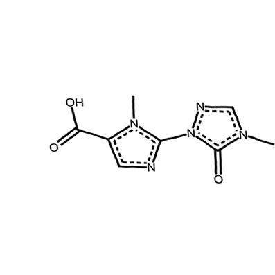 Cn1c(C(=O)O)cnc1-n1ncn(C)c1=O